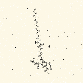 CCCCCCCCCCCCCCCNC(=O)OCCOCCOC(=O)N(Cc1cccc[n+]1CC)C(=O)OCC(C)C.[I-]